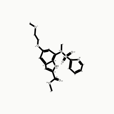 COCCOc1cc(N(C)S(=O)(=O)c2ccccn2)c2[nH]c(C(=O)OC)cc2c1